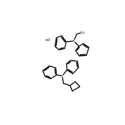 Cl.[Cu][CH2]P(c1ccccc1)c1ccccc1.c1ccc(P(CC2CCC2)c2ccccc2)cc1